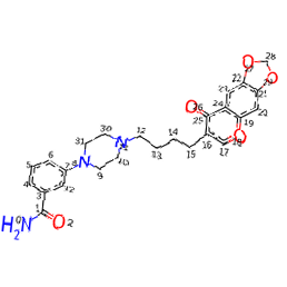 NC(=O)c1cccc(N2CCN(CCCCc3coc4cc5c(cc4c3=O)OCO5)CC2)c1